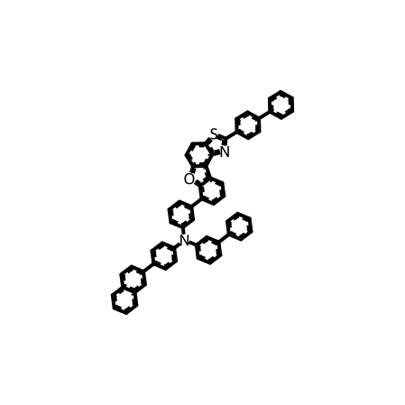 c1ccc(-c2ccc(-c3nc4c(ccc5oc6c(-c7cccc(N(c8ccc(-c9ccc%10ccccc%10c9)cc8)c8cccc(-c9ccccc9)c8)c7)cccc6c54)s3)cc2)cc1